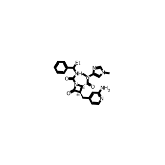 CCC(NC(=O)N1C(=O)[C@H](Cc2ccnc(N)c2)[C@H]1C(=O)N(C)c1cn(C)cn1)c1ccccc1